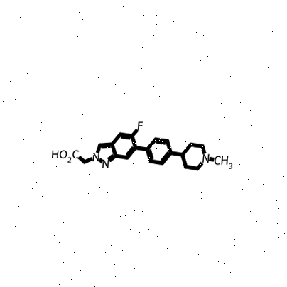 CN1CCC(c2ccc(-c3cc4nn(CC(=O)O)cc4cc3F)cc2)CC1